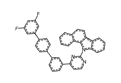 Fc1cc(F)cc(-c2ccc(-c3cccc(-c4ccnc(-n5c6ccccc6c6ccc7ccccc7c65)n4)c3)cc2)c1